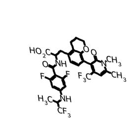 Cc1cc(C(F)(F)F)c(-c2ccc(CC(NC(=O)c3c(F)cc(NC(C)C(F)(F)F)cc3F)C(=O)O)c3c2OCCC3)c(=O)n1C